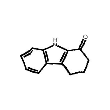 O=C1CCCc2c1[nH]c1[c]cccc21